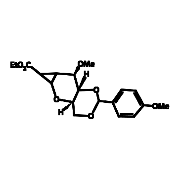 CCOC(=O)C1C2O[C@@H]3COC(c4ccc(OC)cc4)O[C@H]3[C@H](OC)C21